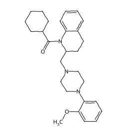 COc1ccccc1N1CCN(CC2CCc3ccccc3N2C(=O)C2CCCCC2)CC1